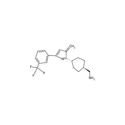 C=C1C=C(c2cccc(C(F)(F)F)c2)N=C1[C@H]1CC[C@H](CN)CC1